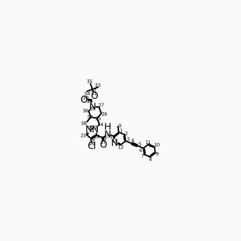 Cc1cc(C#Cc2ccccc2)cnc1NC(=O)c1c(Cl)cnn1CC1CCN(C(=O)OC(C)(C)C)CC1C